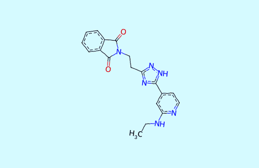 CCNc1cc(-c2nc(CCN3C(=O)c4ccccc4C3=O)n[nH]2)ccn1